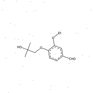 CCOc1cc(C=O)ccc1OCC(C)(C)O